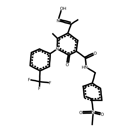 CC(=NO)c1cc(C(=O)NCc2ccc(S(C)(=O)=O)cc2)c(=O)n(-c2cccc(C(F)(F)F)c2)c1C